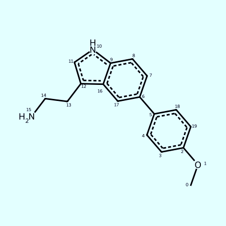 COc1ccc(-c2ccc3[nH]cc(CCN)c3c2)cc1